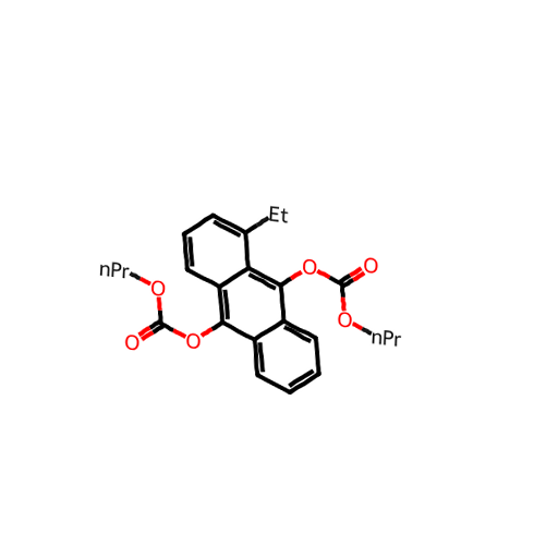 CCCOC(=O)Oc1c2ccccc2c(OC(=O)OCCC)c2c(CC)cccc12